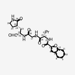 CC(C)[C@H](NC(=O)c1cc2ccccc2o1)C(=O)NCC(=O)N[C@H](C=O)C[C@@H]1CCNC1=O